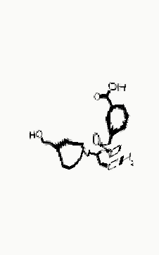 C=CC(N1CCC(CO)CC1)S(=O)(=O)c1cccc(C(=O)O)c1